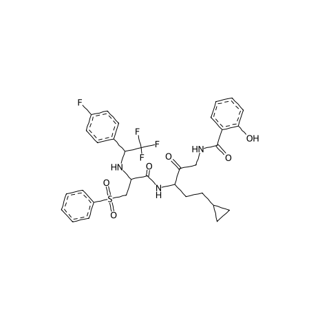 O=C(NCC(=O)C(CCC1CC1)NC(=O)C(CS(=O)(=O)c1ccccc1)NC(c1ccc(F)cc1)C(F)(F)F)c1ccccc1O